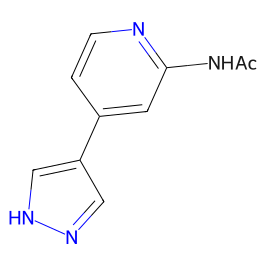 CC(=O)Nc1cc(-c2cn[nH]c2)ccn1